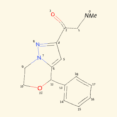 CNCC(=O)c1cc2n(n1)CCOC2c1ccccc1